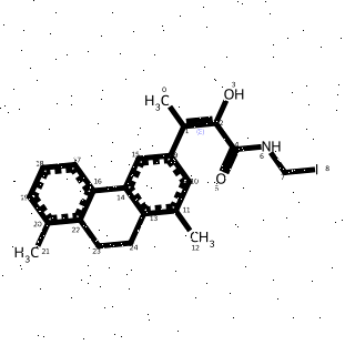 C/C(=C(\O)C(=O)NCI)c1cc(C)c2c(c1)-c1cccc(C)c1CC2